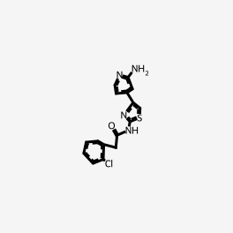 Nc1cc(-c2csc(NC(=O)Cc3ccccc3Cl)n2)ccn1